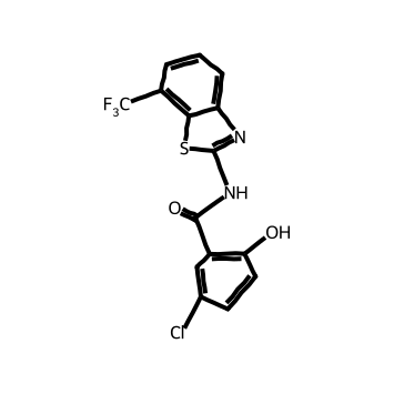 O=C(Nc1nc2cccc(C(F)(F)F)c2s1)c1cc(Cl)ccc1O